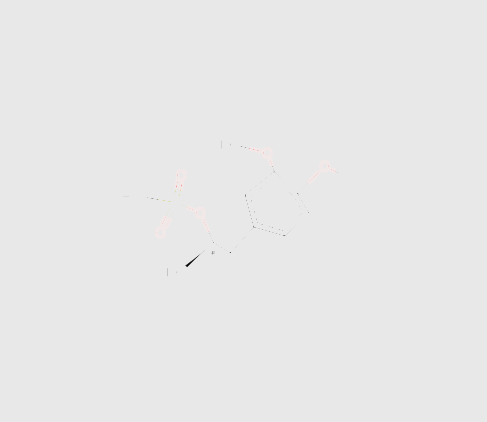 COc1ccc(C[C@@H](C)OS(C)(=O)=O)cc1OC